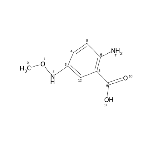 CONc1ccc(N)c(C(=O)O)c1